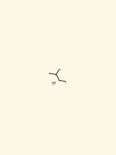 [CH2]CC(C)C.[Hf]